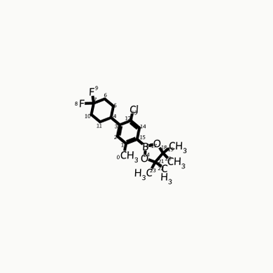 Cc1cc(C2CCC(F)(F)CC2)c(Cl)cc1B1OC(C)(C)C(C)(C)O1